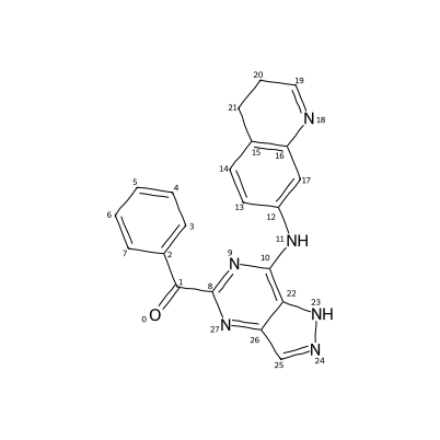 O=C(c1ccccc1)c1nc(Nc2ccc3c(c2)N=CCC3)c2[nH]ncc2n1